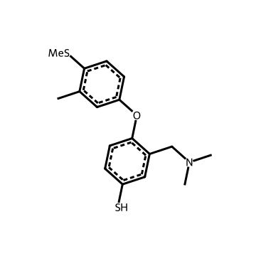 CSc1ccc(Oc2ccc(S)cc2CN(C)C)cc1C